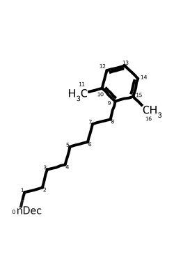 CCCCCCCCCCCCCCCCCCc1c(C)c[c]cc1C